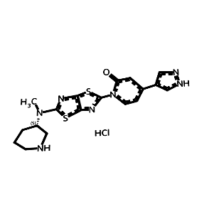 CN(c1nc2sc(-n3ccc(-c4cn[nH]c4)cc3=O)nc2s1)[C@H]1CCCNC1.Cl